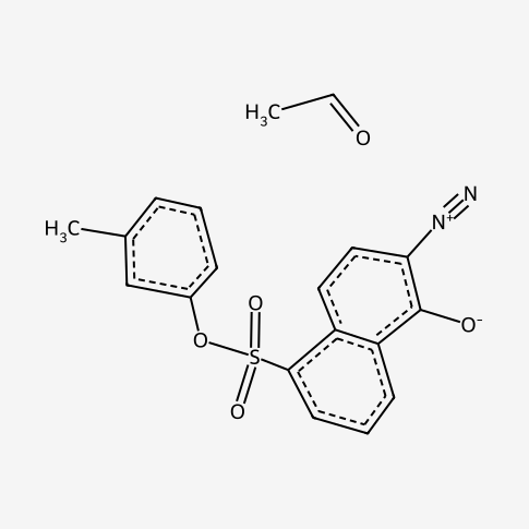 CC=O.Cc1cccc(OS(=O)(=O)c2cccc3c([O-])c([N+]#N)ccc23)c1